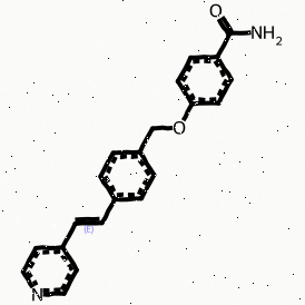 NC(=O)c1ccc(OCc2ccc(/C=C/c3ccncc3)cc2)cc1